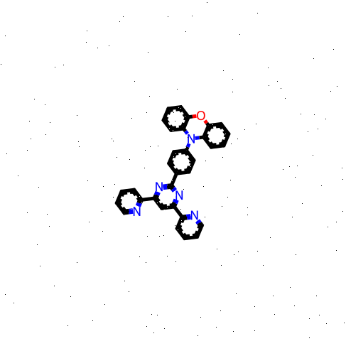 c1ccc(-c2cc(-c3ccccn3)nc(-c3ccc(N4c5ccccc5Oc5ccccc54)cc3)n2)nc1